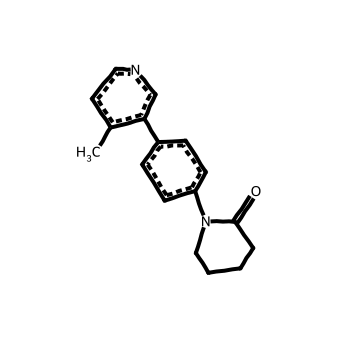 Cc1ccncc1-c1ccc(N2CCCCC2=O)cc1